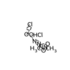 Cl.Cn1c(N2CCN(CCCOC(=O)c3ccc(Cl)cc3)CC2)cc(=O)n(C)c1=O